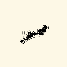 CC[C@H](C)[C@@H]([C@@H](CC(=O)N1CCC[C@H]1[C@H](OC)[C@@H](C)C(=O)NC(Cc1ccccc1)C(=O)NCCc1ccc(NC(=O)[C@@H](CCCNC(N)=O)NC(=O)CNC(=O)C2O[C@H](CNC(=O)CCCCCN3C(=O)C=CC3=O)C(O)C2O)cc1)OC)N(C)C(=O)C(NC(=O)[C@H](C(C)C)N(C)C)C(C)C